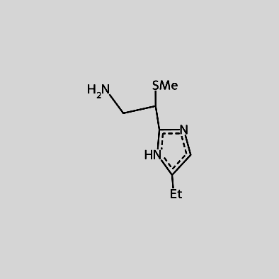 CCc1cnc(C(CN)SC)[nH]1